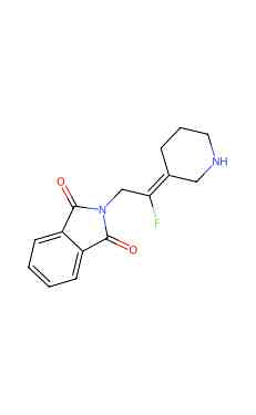 O=C1c2ccccc2C(=O)N1C/C(F)=C1\CCCNC1